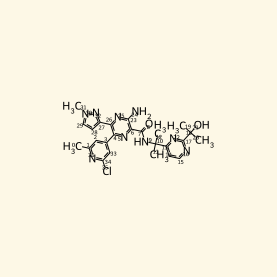 Cc1cc(-c2nc(C(=O)NC(C)(C)c3ccnc(C(C)(C)O)n3)c(N)nc2-c2ccn(C)n2)cc(Cl)n1